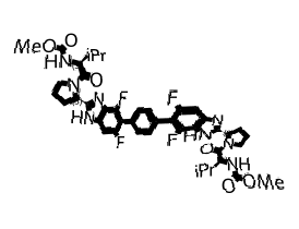 COC(=O)N[C@H](C(=O)N1CCC[C@H]1c1nc2c(F)c(-c3ccc(-c4c(F)cc5nc([C@@H]6CCCN6C(=O)[C@@H](NC(=O)OC)C(C)C)[nH]c5c4F)cc3)c(F)cc2[nH]1)C(C)C